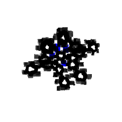 c1ccc(-c2ccc3c(c2)-c2cc(-c4ccccc4)cc4c2B3c2c3c(c(-n5c6ccccc6c6ccccc65)c(N(c5ccccc5)c5ccccc5)c2-n2c5ccccc5c5ccccc52)B2c5ccc(-c6ccccc6)cc5-c5cc(-c6ccccc6)cc(c52)N43)cc1